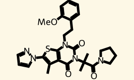 COc1ccccc1CCn1c(=O)n(C(C)(C)C(=O)N2CCCC2)c(=O)c2c(C)c(-n3cccn3)sc21